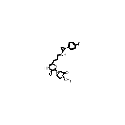 CN1CCN(c2nc(CCCN[C@@H]3C[C@H]3c3ccc(F)cc3)c[nH]c2=O)CC1=O